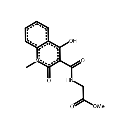 COC(=O)CNC(=O)c1c(O)c2ccccc2n(C)c1=O